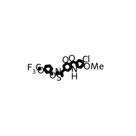 COc1cc2[nH]c3c(c(=O)c2cc1Cl)C(=O)CC(c1csc(Oc2cccc(OC(F)(F)F)c2)n1)C3